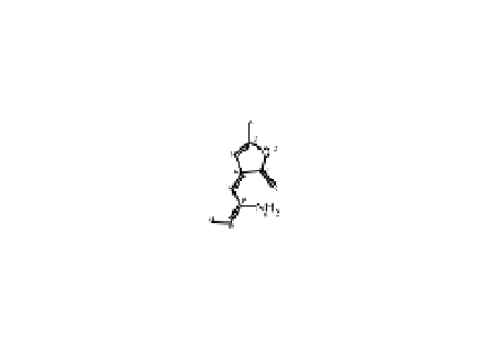 C=c1oc(C)c/c1=C/C(N)=C\C